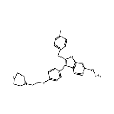 COc1ccc2c(-c3ccc(OCCN4CCOCC4)cc3)c(Cc3ccc(F)cc3)oc2c1